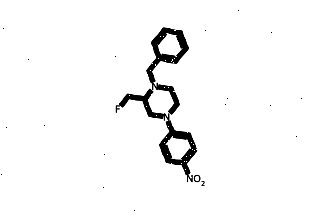 O=[N+]([O-])c1ccc(N2CCN(Cc3ccccc3)C(CF)C2)cc1